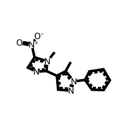 Cc1c(-c2ncc([N+](=O)[O-])n2C)cnn1-c1ccccc1